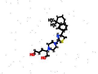 CC1(C)CCCc2ccc(C3CSC(N4CCN(C(CO)CCCO)CC4)=N3)cc21